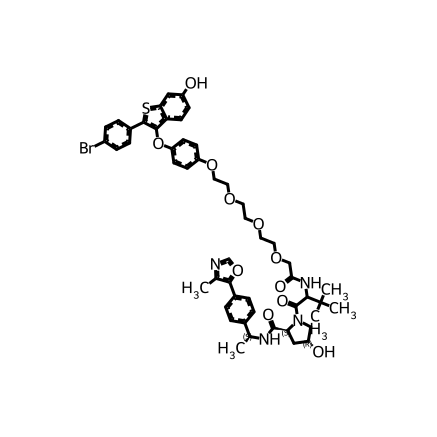 Cc1ncoc1-c1ccc([C@H](C)NC(=O)[C@@H]2C[C@@H](O)CN2C(=O)C(NC(=O)COCCOCCOCCOc2ccc(Oc3c(-c4ccc(Br)cc4)sc4cc(O)ccc34)cc2)C(C)(C)C)cc1